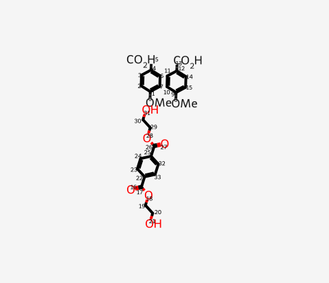 COc1ccc(C(=O)O)cc1.COc1ccc(C(=O)O)cc1.O=C(OCCO)c1ccc(C(=O)OCCO)cc1